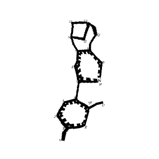 Cc1ccc(-c2cc3c(cn2)CC2CC3C2)c(C)c1